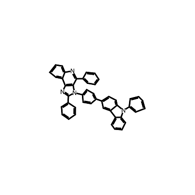 c1ccc(-c2nc3ccccc3c3nc(-c4ccccc4)n(-c4ccc(-c5ccc6c(c5)c5ccccc5n6-c5ccccc5)cc4)c23)cc1